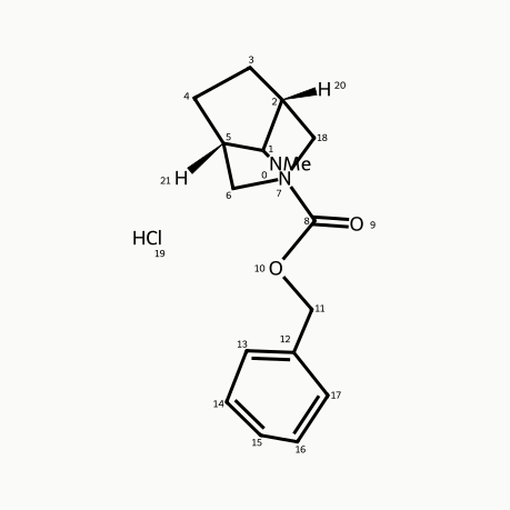 CNC1[C@@H]2CC[C@H]1CN(C(=O)OCc1ccccc1)C2.Cl